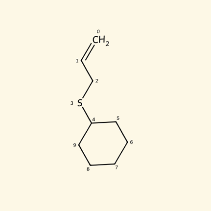 C=CCSC1CCCCC1